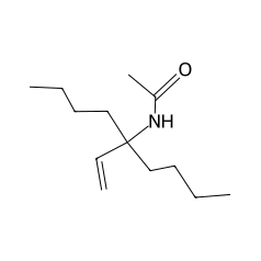 C=CC(CCCC)(CCCC)NC(C)=O